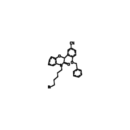 N#Cc1ccc(OCc2ccccc2)c(C2Oc3ccccc3N(CCCCCBr)C2=O)c1